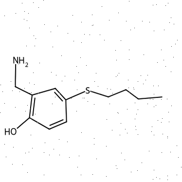 CCCCSc1ccc(O)c(CN)c1